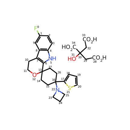 Fc1ccc2[nH]c3c(c2c1)CCOC31CCC(c2cccs2)(N2CCC2)CC1.O=C(O)CC(O)(CC(=O)O)C(=O)O